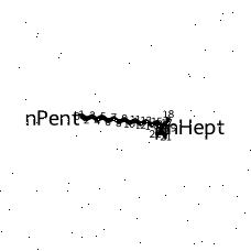 CCCCCC=CCC=CCCCCCCCCCCC(C(C)CCCCCCC)N(C)C